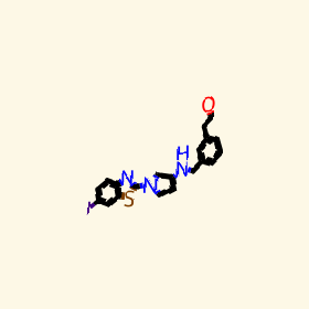 O=CCc1cccc(CNC2CCN(c3nc4ccc(I)cc4s3)C2)c1